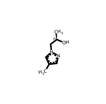 Cc1cnn(C[C@@H](C)O)c1